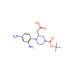 CC(C)(C)OC(=O)N1CCN(c2ccc(N)cc2N)C(CC(=O)O)C1